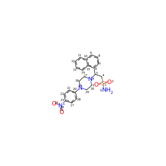 NS(=O)(=O)CC(c1cccc2ccccc12)N1CCN(c2ccc([N+](=O)[O-])cc2)CC1